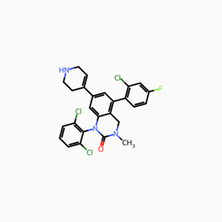 CN1Cc2c(-c3ccc(F)cc3Cl)cc(C3=CCNCC3)cc2N(c2c(Cl)cccc2Cl)C1=O